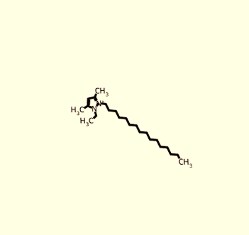 CCCCCCCCCCCCCCCC[n+]1c(C)cc(C)n1CC